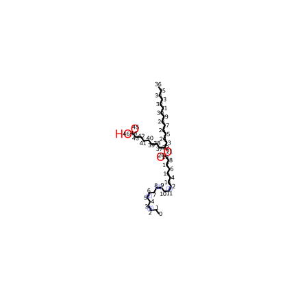 CC/C=C\C/C=C\C/C=C\C/C=C\CCCCCCC(=O)OC(CCCCCCCCCCCCCC)CCCCCCCC(=O)O